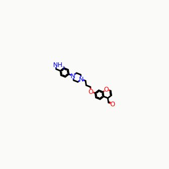 NCc1ccc(N2CCN(CCCOc3ccc4c(c3)OC=CC4C=O)CC2)cc1